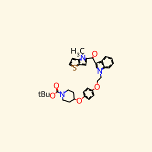 Cn1c(C(=O)c2cn(CCOc3ccc(OC4CCN(C(=O)OC(C)(C)C)CC4)cc3)c3ccccc23)cc2sccc21